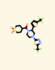 O=C(C1CCS(=O)(=O)CC1)N1CCN(c2nnc(C(F)(F)F)s2)CC1c1ccc(C(F)(F)F)s1